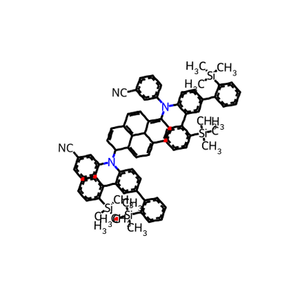 C[Si](C)(C)c1ccccc1-c1ccc(N(C2=C3C=CC4=C5C(=CC=C(C=C2)C35)C(N(c2cccc(C#N)c2)c2ccc(-c3ccccc3[Si](C)(C)C)cc2-c2ccccc2[Si](C)(C)C)C=C4)c2cccc(C#N)c2)c(-c2ccccc2[Si](C)(C)C)c1